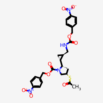 CC(=O)S[C@H]1C[C@@H]([C@@H]2C[C@H]2CNC(=O)OCc2ccc([N+](=O)[O-])cc2)N(C(=O)OCc2ccc([N+](=O)[O-])cc2)C1